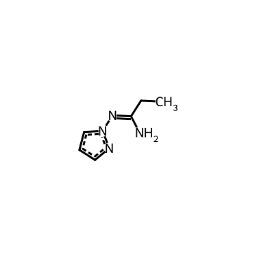 CCC(N)=Nn1cccn1